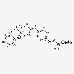 COC(=O)/C=C/c1ccc(CN2CCC3(CCc4ccccc4O3)CC2)cc1